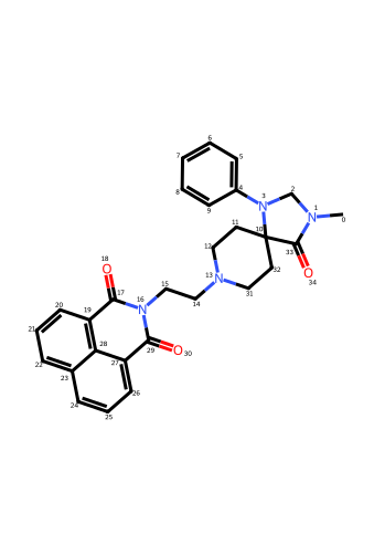 CN1CN(c2ccccc2)C2(CCN(CCN3C(=O)c4cccc5cccc(c45)C3=O)CC2)C1=O